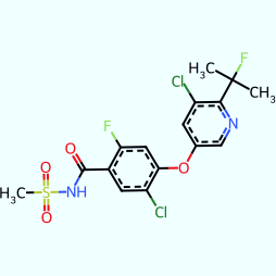 CC(C)(F)c1ncc(Oc2cc(F)c(C(=O)NS(C)(=O)=O)cc2Cl)cc1Cl